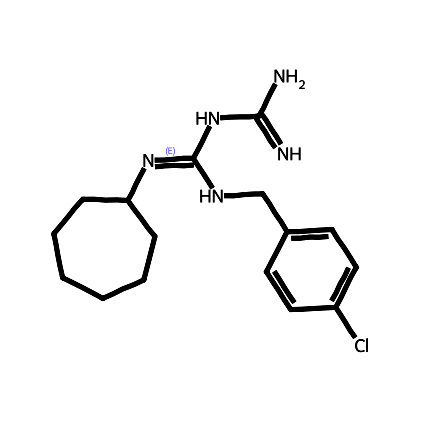 N=C(N)N/C(=N/C1CCCCCC1)NCc1ccc(Cl)cc1